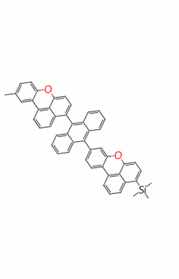 Cc1ccc2c(c1)-c1cccc3c(-c4c5ccccc5c(-c5ccc6c(c5)Oc5ccc([Si](C)(C)C)c7cccc-6c57)c5ccccc45)ccc(c13)O2